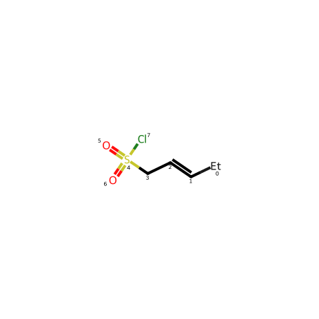 CCC=CCS(=O)(=O)Cl